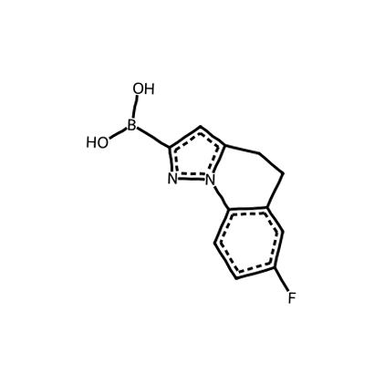 OB(O)c1cc2n(n1)-c1ccc(F)cc1CC2